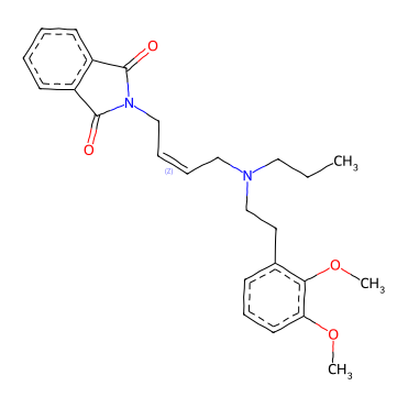 CCCN(C/C=C\CN1C(=O)c2ccccc2C1=O)CCc1cccc(OC)c1OC